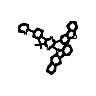 CC1(C)c2cc(-c3ccccn3)ccc2-c2nc(-c3ccc4oc5ccccc5c4c3)c(-n3c4ccccc4c4cc5ccccc5cc43)nc21